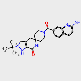 CC(C)(C)N1CC2=C(N1)C(=O)NC1(CCN(C(=O)c3ccc4ccc(N)nc4c3)CC1)C2